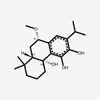 CO[C@H]1C[C@H]2C(C)(C)CCC[C@]2(O)c2c1cc(C(C)C)c(O)c2O